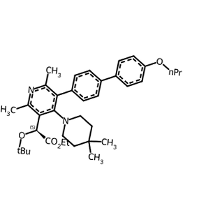 CCCOc1ccc(-c2ccc(-c3c(C)nc(C)c([C@H](OC(C)(C)C)C(=O)OCC)c3N3CCC(C)(C)CC3)cc2)cc1